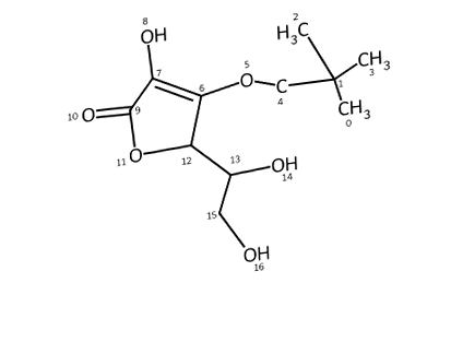 CC(C)(C)COC1=C(O)C(=O)OC1C(O)CO